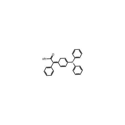 CCCC(=O)C(=C1C=CC(P(c2ccccc2)c2ccccc2)=CC1)c1ccccc1